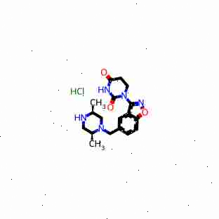 C[C@H]1CN(Cc2ccc3onc(N4CCC(=O)NC4=O)c3c2)[C@@H](C)CN1.Cl